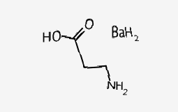 NCCC(=O)O.[BaH2]